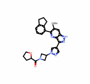 COc1cc2[nH]nc(-c3cnn(C4CN(C(=O)C5CCCO5)C4)c3)c2nc1-c1cccc2c1CCC2